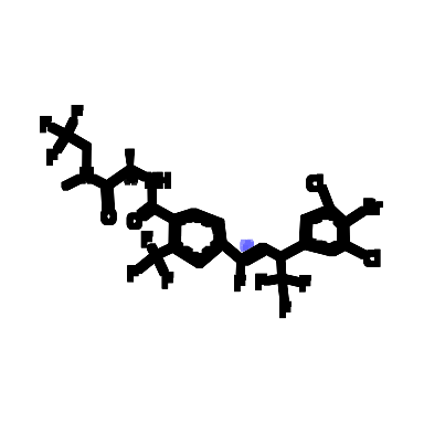 C[C@@H](NC(=O)c1ccc(/C(F)=C/C(c2cc(Cl)c(Br)c(Cl)c2)C(F)(F)F)cc1C(F)(F)F)C(=O)N(C)CC(F)(F)F